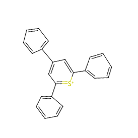 c1ccc(-c2cc(-c3ccccc3)[s+]c(-c3ccccc3)c2)cc1